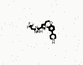 FC(F)(F)Cc1n[nH]c(-c2cc3n(n2)-c2cc(C4CCNCC4)ccc2OCC3)n1